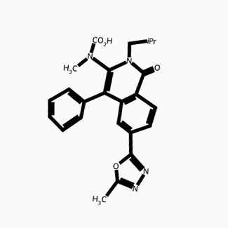 Cc1nnc(-c2ccc3c(=O)n(CC(C)C)c(N(C)C(=O)O)c(-c4ccccc4)c3c2)o1